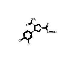 CC(C)(C)OC(=O)N1C[C@@H](C(N)=O)[C@H](c2ccc(Cl)c(Cl)c2)C1